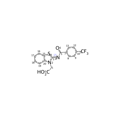 O=C(O)Cn1/c(=N/C(=O)c2ccc(C(F)(F)F)cc2)sc2ccccc21